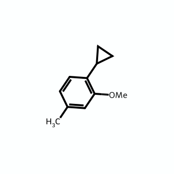 COc1cc(C)ccc1C1CC1